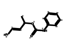 CCCC=CC(C)OC(=O)Nc1ccccc1